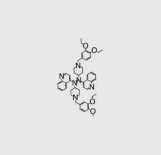 CCOc1cc(CN2CCC(N(c3ccnc4ccccc34)N(c3ccnc4ccccc34)C3CCN(Cc4ccc(OCC)c(OCC)c4)CC3)CC2)ccc1OC